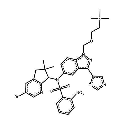 CC1(C)Cc2cc(Br)cnc2C1N(c1ccc2c(c1)c(-c1cnco1)nn2COCC[Si](C)(C)C)S(=O)(=O)c1ccccc1[N+](=O)[O-]